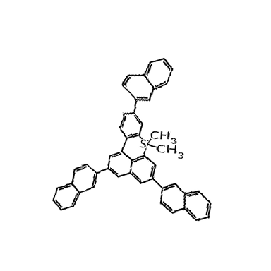 C[Si]1(C)c2cc(-c3ccc4ccccc4c3)ccc2-c2cc(-c3ccc4ccccc4c3)cc3cc(-c4ccc5ccccc5c4)cc1c23